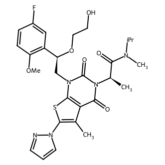 COc1ccc(F)cc1[C@H](Cn1c(=O)n([C@H](C)C(=O)N(C)C(C)C)c(=O)c2c(C)c(-n3cccn3)sc21)OCCO